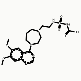 COc1cc2ncnc(N3CCCN(CCNS(=O)(=O)NC(=O)O)CC3)c2cc1OC